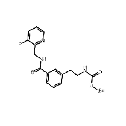 CC(C)(C)OC(=O)NCCc1cccc(C(=O)NCc2ncccc2F)c1